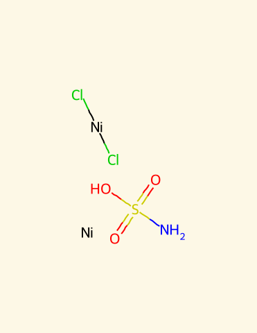 NS(=O)(=O)O.[Cl][Ni][Cl].[Ni]